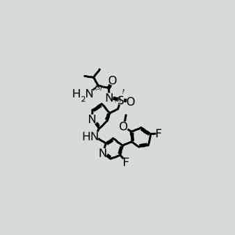 COc1cc(F)ccc1-c1cc(Nc2cc(C[S@](C)(=O)=NC(=O)[C@@H](N)C(C)C)ccn2)ncc1F